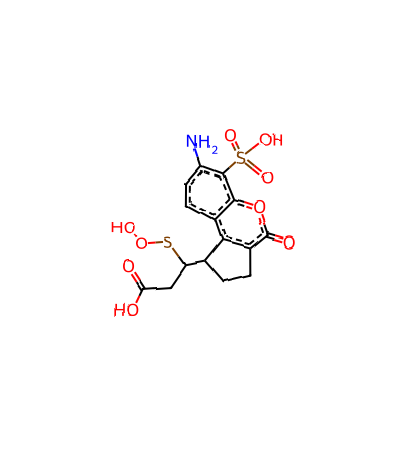 Nc1ccc2c3c(c(=O)oc2c1S(=O)(=O)O)CCC3C(CC(=O)O)SOO